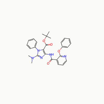 CN(C)c1nc(NC(=O)c2cccnc2Oc2ccccc2)c(C(=O)OC(C)(C)C)n1-c1ccccc1